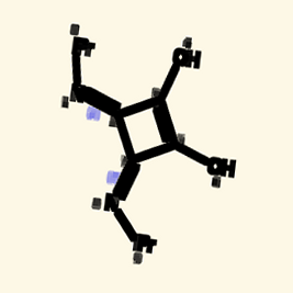 CC(C)/N=c1\c(O)c(O)\c1=N/C(C)C